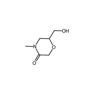 CN1CC(CO)OCC1=O